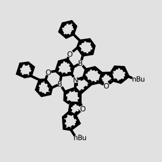 CCCCc1ccc2c(c1)oc1c2cc2c3c1c1c4oc5cc(CCCC)ccc5c4cc4c1n3-c1c3c(cc5c1B4c1cccc(-c4ccccc4)c1O5)Oc1c(cccc1-c1ccccc1)B32